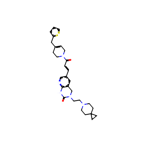 O=C(/C=C/c1cnc2c(c1)CN(CCN1CCC3(CC1)CC3)C(=O)N2)N1CC=C(Cc2cccs2)CC1